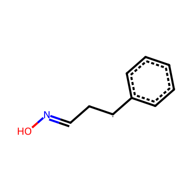 ON=CC[CH]c1ccccc1